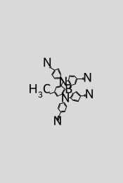 CCc1cc2c3c(c1)N(c1ccc(C#N)cc1)c1ccc(C#N)cc1B3c1cc(C#N)ccc1N2c1ccc(C#N)cc1